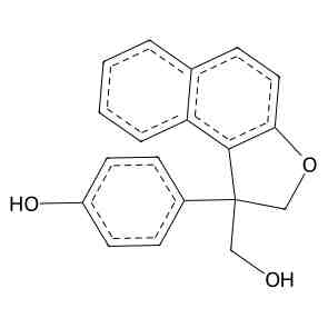 OCC1(c2ccc(O)cc2)COc2ccc3ccccc3c21